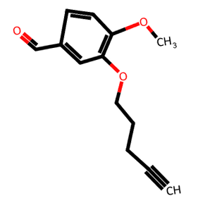 C#CCCCOc1cc(C=O)ccc1OC